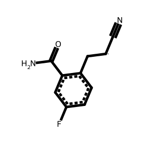 N#C[CH]Cc1ccc(F)cc1C(N)=O